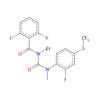 CCN(C(=O)c1c(F)cccc1F)C(=O)N(C)c1ccc(SC(F)(F)F)cc1F